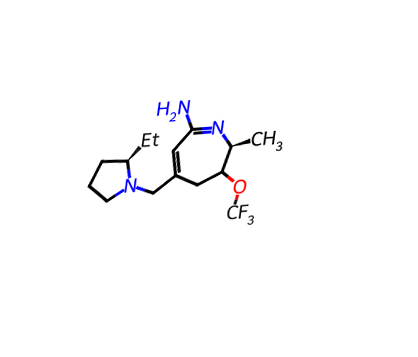 CC[C@@H]1CCCN1CC1=CC(N)=N[C@@H](C)C(OC(F)(F)F)C1